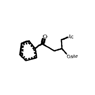 COC(CC(C)=O)CC(=O)c1ccccc1